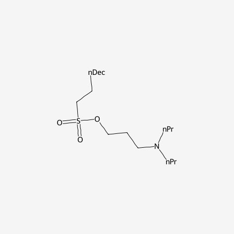 CCCCCCCCCCCCS(=O)(=O)OCCCN(CCC)CCC